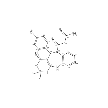 CC1(C)CC(=O)C2=C(C1)Nc1cnccc1N(C(=O)CC(N)=O)C2c1ccc(Cl)cc1Cl